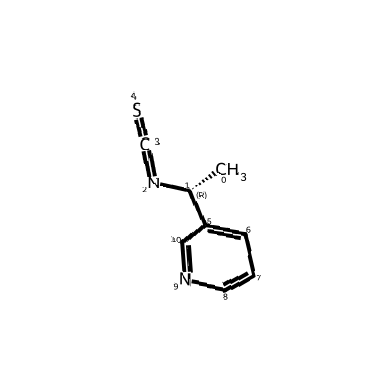 C[C@@H](N=C=S)c1cccnc1